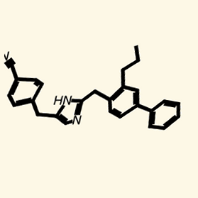 CCCc1cc(-c2ccccc2)ccc1Cc1ncc(Cc2ccc(C#N)cc2)[nH]1